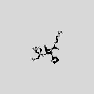 CC[Si](CC)(CC)O[C@H]1C(=O)N(C(=O)OCCOC)[C@H]1c1ccco1